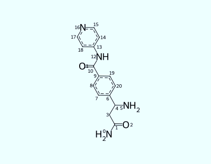 NC(=O)CC(N)c1ccc(C(=O)Nc2ccncc2)cc1